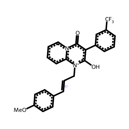 COc1ccc(/C=C/C[n+]2c(O)c(-c3cccc(C(F)(F)F)c3)c(=O)n3ccccc32)cc1